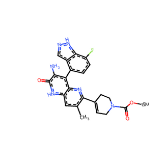 Cc1cc2[nH]c(=O)c(N)c(-c3ccc(F)c4[nH]ncc34)c2nc1C1=CCN(C(=O)OC(C)(C)C)CC1